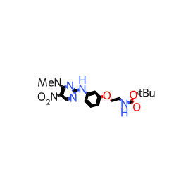 CNc1nc(Nc2cccc(OCCNC(=O)OC(C)(C)C)c2)ncc1[N+](=O)[O-]